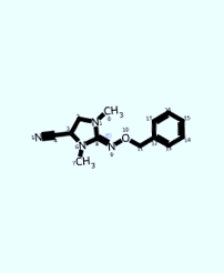 CN1CC(C#N)N(C)/C1=N/OCc1ccccc1